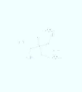 COCC(COC)(C(C)C(C)C)C(C)C(C)C